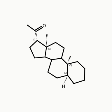 CC(=O)[C@H]1CCC2C3CC[C@@H]4CCCC[C@]4(C)C3CC[C@@]21C